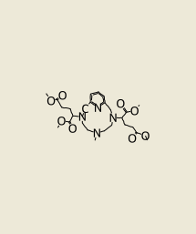 COC(=O)CCC(C(=O)OC)N1CCN(C)CCN(C(CCC(=O)OC)C(=O)OC)Cc2cccc(n2)C1